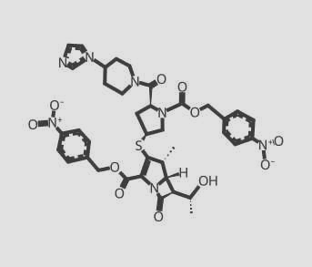 C[C@@H](O)[C@H]1C(=O)N2C(C(=O)OCc3ccc([N+](=O)[O-])cc3)=C(S[C@H]3C[C@@H](C(=O)N4CCC(n5ccnc5)CC4)N(C(=O)OCc4ccc([N+](=O)[O-])cc4)C3)[C@H](C)[C@H]12